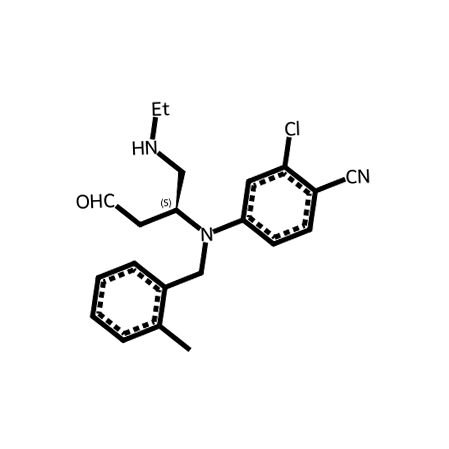 CCNC[C@H](CC=O)N(Cc1ccccc1C)c1ccc(C#N)c(Cl)c1